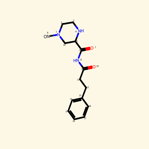 O=NN1CCNC(C(=O)NC(=O)CCc2ccccc2)C1